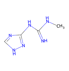 CNC(=N)Nc1nc[nH]n1